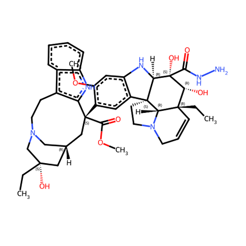 CC[C@]1(O)C[C@@H]2CN(CCc3c([nH]c4ccccc34)[C@@](C(=O)OC)(c3cc4c(cc3OC)N[C@H]3[C@@](O)(C(=O)NN)[C@H](O)[C@]5(CC)C=CCN6CC[C@]43[C@@H]65)C2)C1